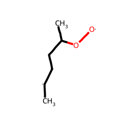 C[CH]CCC(C)O[O]